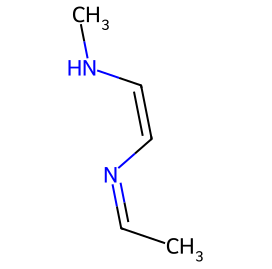 C/C=N\C=C/NC